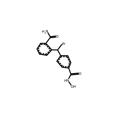 CC(C)C(c1ccc(C(=O)NO)cc1)c1ccccc1C(N)=O